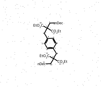 CCCCCCCCCCCC(Cc1ccc(CC(CCCCCCCCCCC)(C(=O)OCC)C(=O)OCC)cc1)(C(=O)OCC)C(=O)OCC